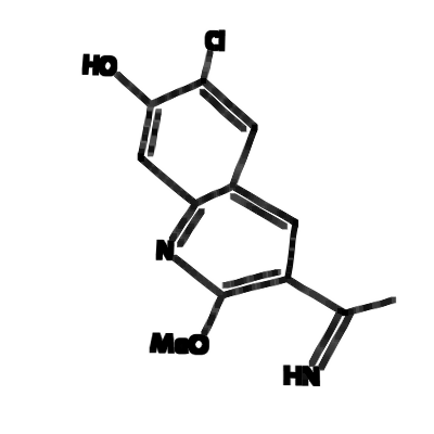 COc1nc2cc(O)c(Cl)cc2cc1C(C)=N